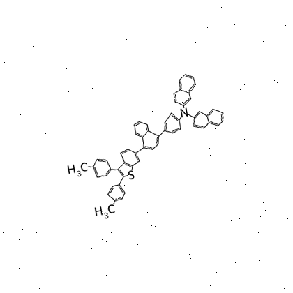 Cc1ccc(-c2sc3cc(-c4ccc(-c5ccc(N(c6ccc7ccccc7c6)c6ccc7ccccc7c6)cc5)c5ccccc45)ccc3c2-c2ccc(C)cc2)cc1